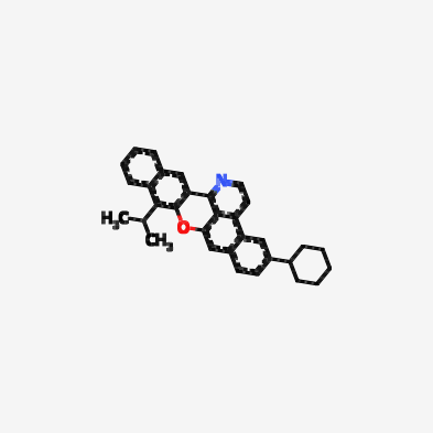 CC(C)c1c2c(cc3ccccc13)-c1nccc3c1c(cc1ccc(C4CCCCC4)cc13)O2